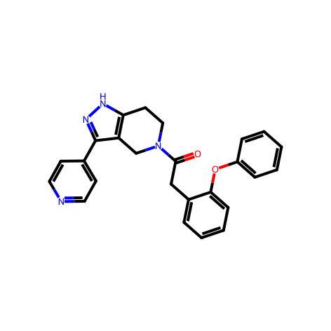 O=C(Cc1ccccc1Oc1ccccc1)N1CCc2[nH]nc(-c3ccncc3)c2C1